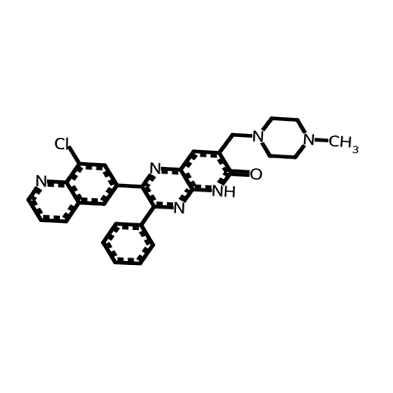 CN1CCN(Cc2cc3nc(-c4cc(Cl)c5ncccc5c4)c(-c4ccccc4)nc3[nH]c2=O)CC1